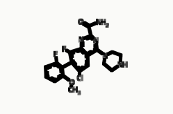 COc1cccc(F)c1-c1c(Cl)cc2c(N3CCNCC3)nc(C(N)=O)nc2c1F